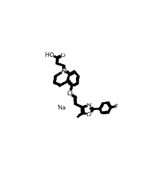 Cc1oc(-c2ccc(F)cc2)nc1CCOc1cccc2c1CCCN2CCC(=O)O.[Na]